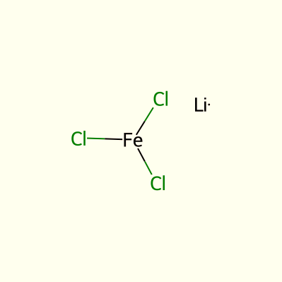 [Cl][Fe]([Cl])[Cl].[Li]